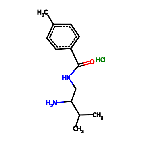 Cc1ccc(C(=O)NCC(N)C(C)C)cc1.Cl